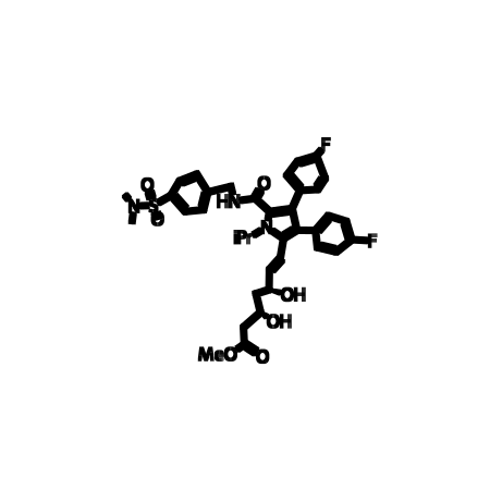 COC(=O)C[C@H](O)C[C@H](O)/C=C/c1c(-c2ccc(F)cc2)c(-c2ccc(F)cc2)c(C(=O)NCc2ccc(S(=O)(=O)N(C)C)cc2)n1C(C)C